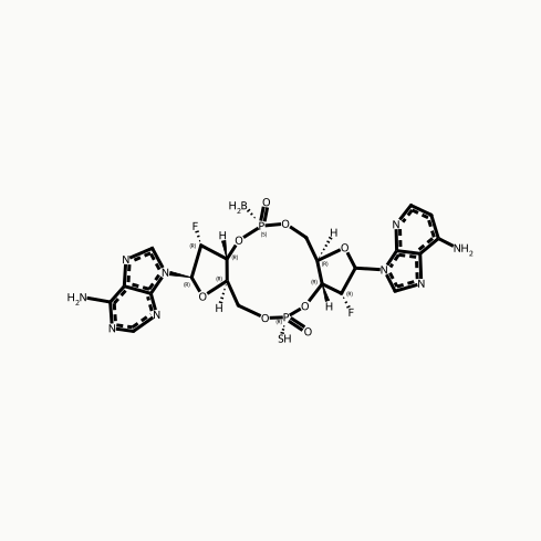 B[P@]1(=O)OC[C@H]2OC(n3cnc4c(N)ccnc43)[C@H](F)[C@@H]2O[P@](=O)(S)OC[C@H]2O[C@@H](n3cnc4c(N)ncnc43)[C@H](F)[C@@H]2O1